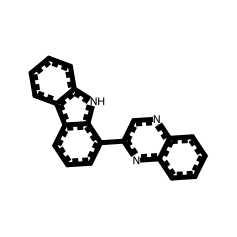 c1ccc2nc(-c3cccc4c3[nH]c3ccccc34)cnc2c1